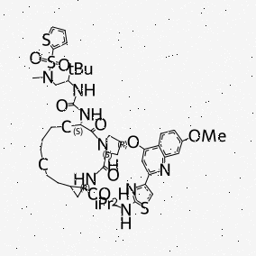 COc1ccc2c(O[C@@H]3C[C@H]4C(=O)N[C@]5(C(=O)O)CC5CCCCCCC[C@H](NC(=O)NC(CN(C)S(=O)(=O)c5cccs5)C(C)(C)C)C(=O)N4C3)cc(-c3csc(NC(C)C)n3)nc2c1